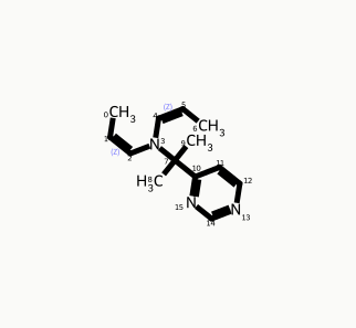 C/C=C\N(/C=C\C)C(C)(C)c1ccn[c]n1